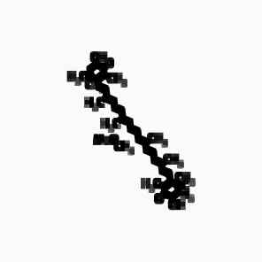 CC1=C(/C=C/C(C)=C/C=C/C(C)=C/C=C/C=C(C)/C=C/C=C(C)/C=C/C2=C(C)C(=O)C(O)CC2(C)C)C(C)(C)CC(O)C1=O.COC